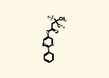 CC(C)(C)CC(=O)Oc1cnc(-c2ccccc2)nc1